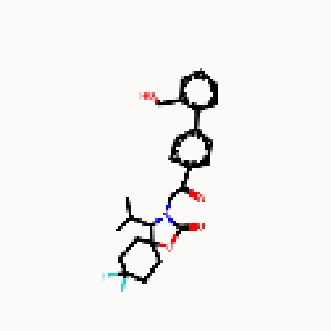 CC(C)C1N(CC(=O)c2ccc(-c3ccccc3CO)cc2)C(=O)OC12CCC(F)(F)CC2